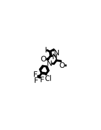 COCC1CN(c2ccc(C(F)(F)F)c(Cl)c2)C(=O)c2c(I)cnn21